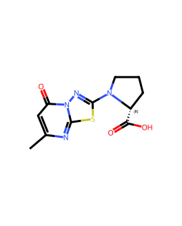 Cc1cc(=O)n2nc(N3CCC[C@@H]3C(=O)O)sc2n1